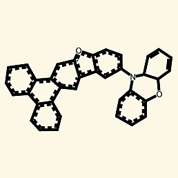 C1=CC2Oc3ccccc3N(c3ccc4oc5cc6c7ccccc7c7ccccc7c6cc5c4c3)C2C=C1